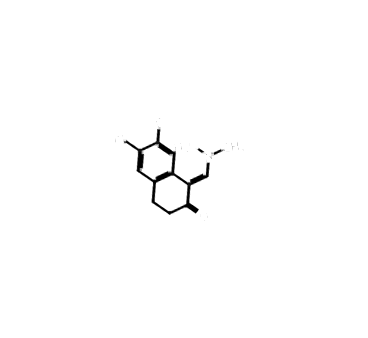 CN(C)/C=C1/C(=O)CCc2cc(Cl)c(Cl)cc21